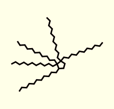 CCCCCCCCCCCC1CCC(CCCCCCCCCCC)(CCCCCCCCCCC)C1(CCCCCCCCCCC)CCCCCCCCCCC